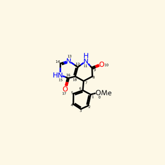 COc1ccccc1C1CC(=O)Nc2nc[nH]c(=O)c21